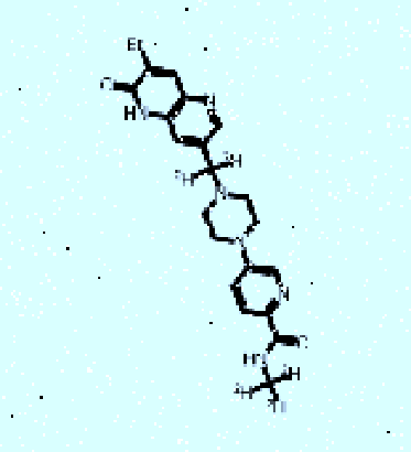 [2H]C([2H])([2H])NC(=O)c1ccc(N2CCN(C([2H])([2H])c3cnc4cc(CC)c(=O)[nH]c4c3)CC2)cn1